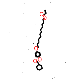 C=CC(=O)OCCCCCCCCCCCCOc1ccc(OC(=O)C2CCCCC2)cc1